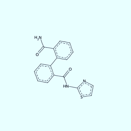 NC(=O)c1ccccc1-c1ccccc1C(=O)Nc1nccs1